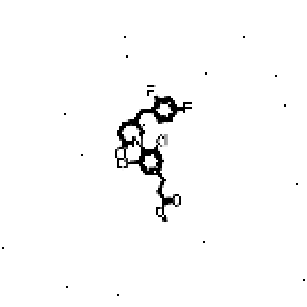 COC(=O)CCc1cc(Cl)c(N2CC(Cc3ccc(F)cc3F)CCC2=O)c(Cl)c1